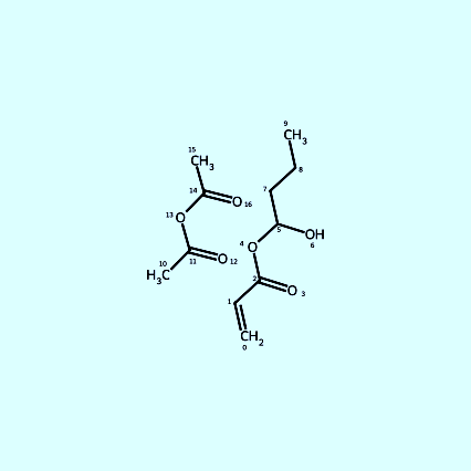 C=CC(=O)OC(O)CCC.CC(=O)OC(C)=O